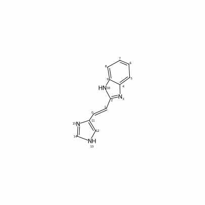 C(=Cc1nc2ccccc2[nH]1)c1c[nH]cn1